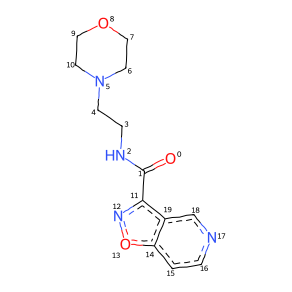 O=C(NCCN1CCOCC1)c1noc2ccncc12